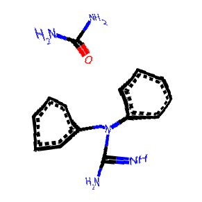 N=C(N)N(c1ccccc1)c1ccccc1.NC(N)=O